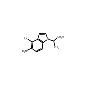 CC(C(=O)O)n1ccc2c(C(F)(F)F)c(N)ccc21